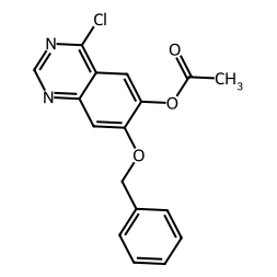 CC(=O)Oc1cc2c(Cl)ncnc2cc1OCc1ccccc1